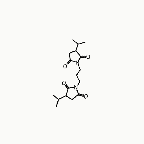 CC(C)C1CC(=O)N(CCCN2C(=O)CC(C(C)C)C2=O)C1=O